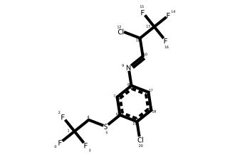 FC(F)(F)CSc1cc(N=CC(Cl)C(F)(F)F)ccc1Cl